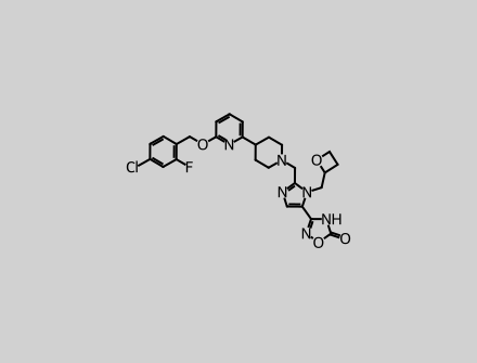 O=c1[nH]c(-c2cnc(CN3CCC(c4cccc(OCc5ccc(Cl)cc5F)n4)CC3)n2CC2CCO2)no1